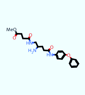 COC(=O)CCC(=O)NCC(N)CCC(=O)Nc1ccc(Oc2ccccc2)cc1